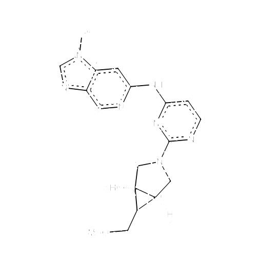 COCC1[C@H]2CN(c3nccc(Nc4cc5c(cn4)ncn5C(C)C)n3)C[C@@H]12